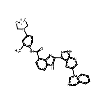 CCN(CC)c1ccc(NC(=O)c2cccc3[nH]c(-c4n[nH]c5ncc(-c6cncc7ccccc67)cc45)nc23)c(C)c1